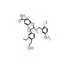 CCc1cc([C@@H](Nc2cccc(C(N)=O)c2)C(=O)N(C)Cc2cc(N)ccc2SI)ccc1CCO